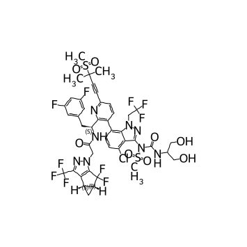 CC(C)(C#Cc1ccc(-c2ccc(Cl)c3c(N(C(=O)NC(CO)CO)S(C)(=O)=O)nn(CC(F)(F)F)c23)c([C@H](Cc2cc(F)cc(F)c2)NC(=O)Cn2nc(C(F)(F)F)c3c2C(F)(F)[C@@H]2C[C@H]32)n1)S(C)(=O)=O